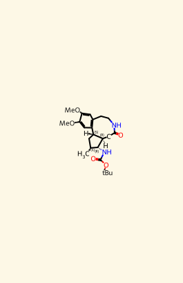 COc1cc2c(cc1OC)[C@H]1C[C@H](C)[C@@H](NC(=O)OC(C)(C)C)[C@@H]1CC(=O)NCC2